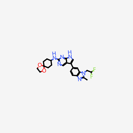 Cc1nc2ccc(-c3c[nH]c4nc(NC5CCC6(CC5)OCCO6)ncc34)cc2n1CC(F)F